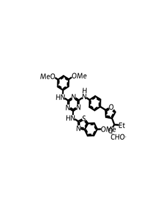 CCC(O[C]=O)c1coc(-c2ccc(Nc3nc(Nc4cc(OC)cc(OC)c4)nc(Nc4nc5ccc(OC)cc5s4)n3)cc2)c1